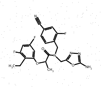 CCc1c(F)cc(F)cc1OC(C)C(=O)N(Cc1nnc(N)o1)Cc1ccc(C#N)cc1F